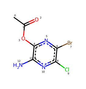 CC(=O)Oc1nc(Br)c(Cl)nc1N